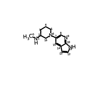 CNC1CCCN(c2cnc3[nH]c[c]c3c2)C1